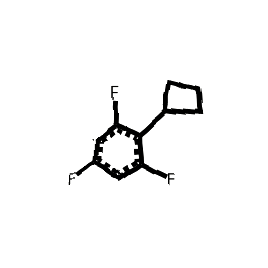 Fc1[c]c(F)c(C2CCC2)c(F)c1